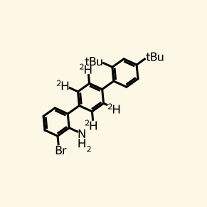 [2H]c1c([2H])c(-c2cccc(Br)c2N)c([2H])c([2H])c1-c1ccc(C(C)(C)C)cc1C(C)(C)C